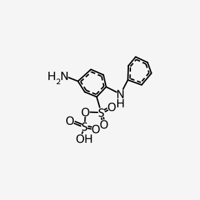 Nc1ccc(Nc2ccccc2)c(S(=O)(=O)OS(=O)(=O)O)c1